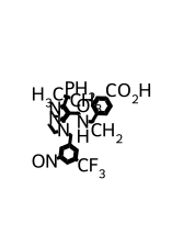 C=C(NC(=O)c1c(C(C)(C)P)nn2c1N(Cc1cc(N=O)cc(C(F)(F)F)c1)CC2)c1ccc(C(=O)O)cc1